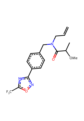 C=CCN(Cc1ccc(-c2noc(C(F)(F)F)n2)cc1)C(=O)C(C)OC